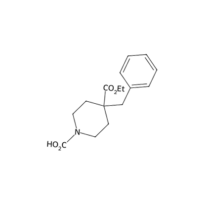 CCOC(=O)C1(Cc2ccccc2)CCN(C(=O)O)CC1